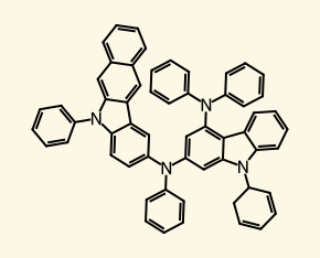 C1=CCC(n2c3ccccc3c3c(N(c4ccccc4)c4ccccc4)cc(N(c4ccccc4)c4ccc5c(c4)c4cc6ccccc6cc4n5-c4ccccc4)cc32)C=C1